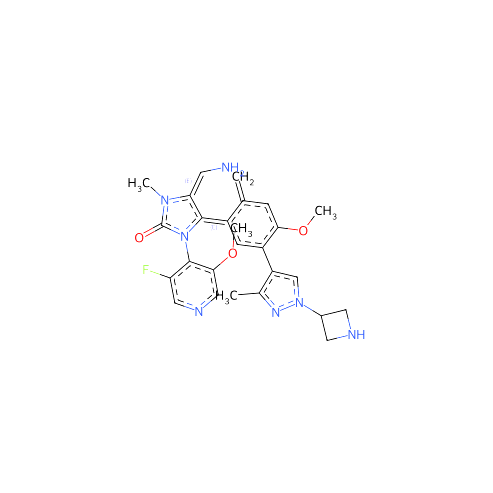 C=c1cc(OC)c(-c2cn(C3CNC3)nc2C)c/c1=c1/c(=C\N)n(C)c(=O)n1-c1c(F)cncc1OC